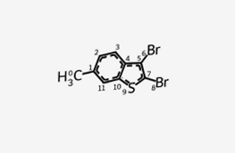 Cc1ccc2c(Br)c(Br)sc2c1